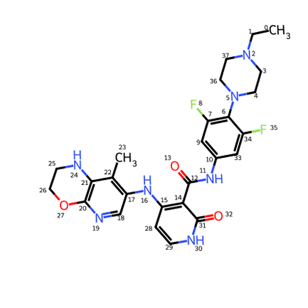 CCN1CCN(c2c(F)cc(NC(=O)c3c(Nc4cnc5c(c4C)NCCO5)cc[nH]c3=O)cc2F)CC1